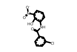 O=C(Nc1cccc([N+](=O)[O-])c1O)c1cccc(Cl)c1